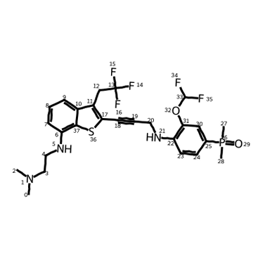 CN(C)CCNc1cccc2c(CC(F)(F)F)c(C#CCNc3ccc(P(C)(C)=O)cc3OC(F)F)sc12